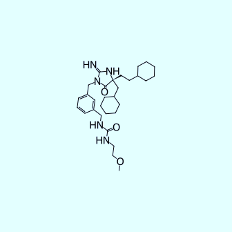 COCCNC(=O)NCc1cccc(CN2C(=N)N[C@](CCC3CCCCC3)(CC3CCCCC3)C2=O)c1